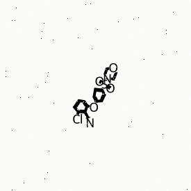 N#Cc1c(Cl)cccc1Oc1ccc(S(=O)(=O)N2CCOCC2)cc1